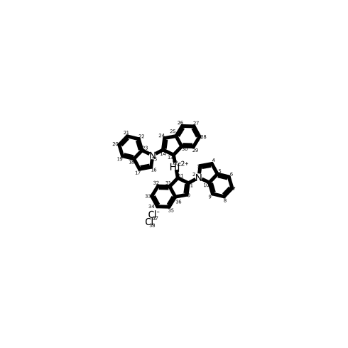 C1=C(n2ccc3ccccc32)[CH]([Hf+2][CH]2C(n3ccc4ccccc43)=Cc3ccccc32)c2ccccc21.[Cl-].[Cl-]